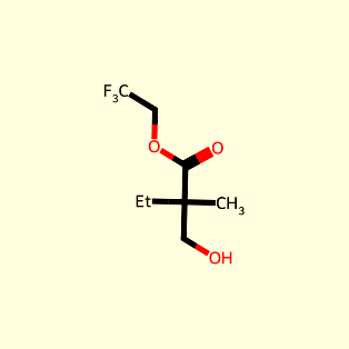 CCC(C)(CO)C(=O)OCC(F)(F)F